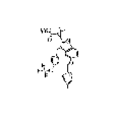 Cc1ccc(COc2ccc3nc(C4C(C(=O)O)C4(C)C)n(Cc4ccc(OC(F)(F)F)cc4)c3c2)nc1